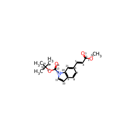 COC(=O)C=Cc1ccc2ccn(C(=O)OC(C)(C)C)c2c1